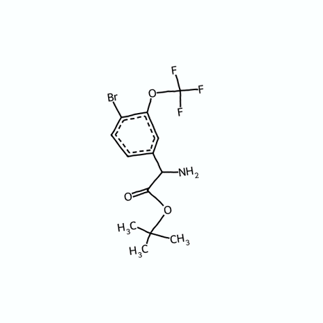 CC(C)(C)OC(=O)C(N)c1ccc(Br)c(OC(F)(F)F)c1